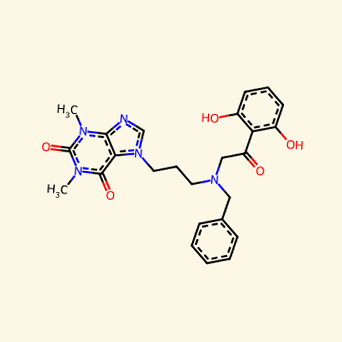 Cn1c(=O)c2c(ncn2CCCN(CC(=O)c2c(O)cccc2O)Cc2ccccc2)n(C)c1=O